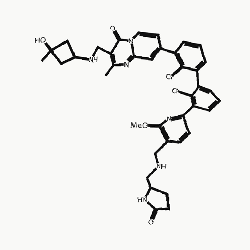 COc1nc(-c2cccc(-c3cccc(-c4ccn5c(=O)c(CNC6CC(C)(O)C6)c(C)nc5c4)c3Cl)c2Cl)ccc1CNCC1CCC(=O)N1